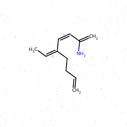 C=CCCC(/C=C\C(=C)N)=C/C